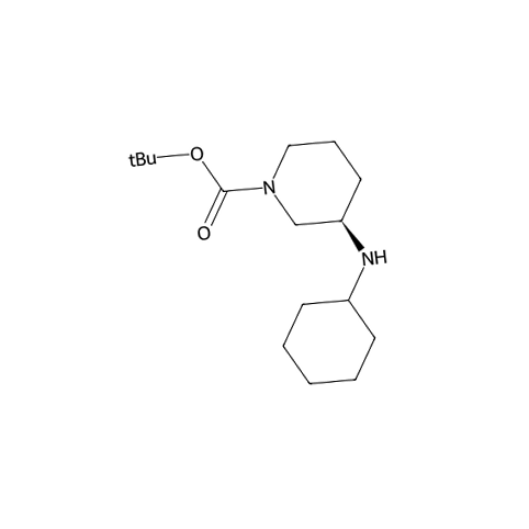 CC(C)(C)OC(=O)N1CCC[C@@H](NC2CCCCC2)C1